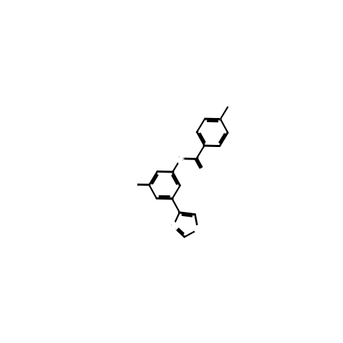 Cc1ccc(C(=O)Nc2cc(C(=O)O)cc(-c3cscn3)c2)cc1